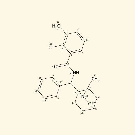 Cc1cccc(C(=O)NC(c2ccccc2)C23CCC(CC2)CN3C)c1Cl